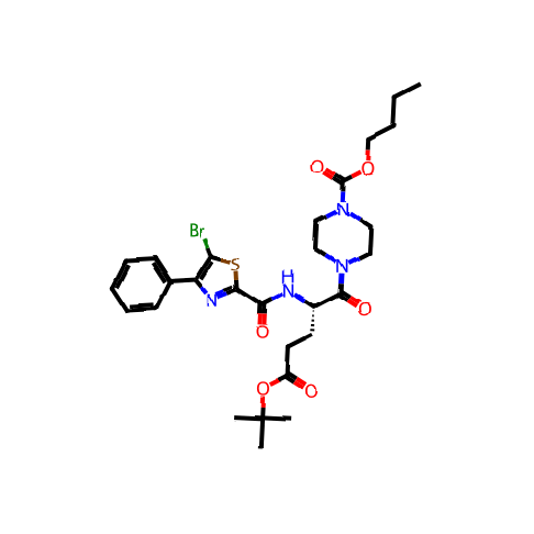 CCCCOC(=O)N1CCN(C(=O)[C@H](CCC(=O)OC(C)(C)C)NC(=O)c2nc(-c3ccccc3)c(Br)s2)CC1